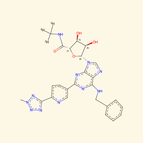 [2H]C([2H])([2H])NC(=O)[C@H]1O[C@@H](n2cnc3c(NCc4ccccc4)nc(-c4ccc(-c5nnn(C)n5)nc4)nc32)[C@H](O)[C@@H]1O